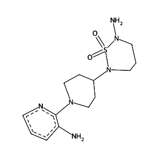 Nc1cccnc1N1CCC(N2CCCN(N)S2(=O)=O)CC1